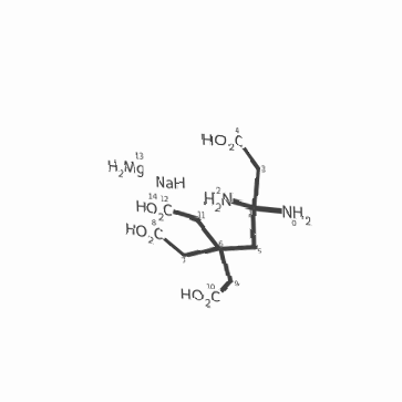 NC(N)(CC(=O)O)CC(CC(=O)O)(CC(=O)O)CC(=O)O.[MgH2].[NaH]